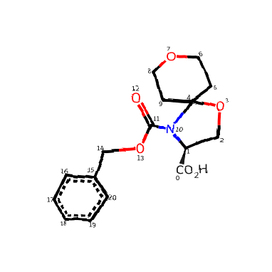 O=C(O)[C@@H]1COC2(CCOCC2)N1C(=O)OCc1ccccc1